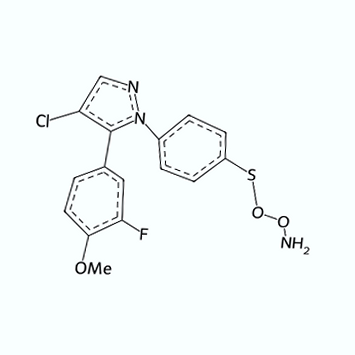 COc1ccc(-c2c(Cl)cnn2-c2ccc(SOON)cc2)cc1F